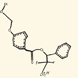 CCOCOc1ccc(C(=O)OC(c2ccccc2)C(F)(F)C(=O)O)cc1